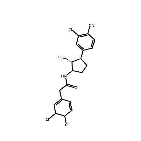 C[C@H]1C(NC(=O)CC2=CC(Cl)C(Cl)C=C2)CCN1c1ccc(C#N)c(Cl)c1